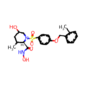 Cc1ccccc1COc1ccc(S(=O)(=O)N2CC(O)CC(C)[C@@H]2C(=O)NO)cc1